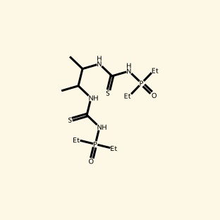 CCP(=O)(CC)NC(=S)NC(C)C(C)NC(=S)NP(=O)(CC)CC